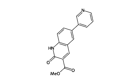 COC(=O)c1cc2cc(-c3cccnc3)ccc2[nH]c1=O